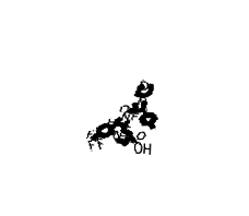 Cc1ccc([C@@H]2CN(C3CCOCC3)C[C@@]2(F)C(=O)N2C[C@@H]3c4ccc(C(F)(F)F)cc4N4CCC(C(=O)O)C[C@H]4[C@]3(C)C2)cc1